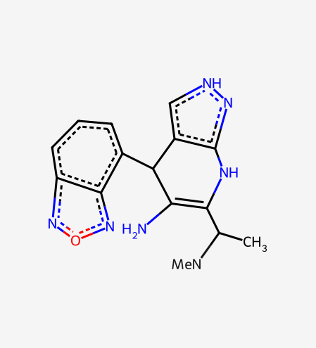 CNC(C)C1=C(N)C(c2cccc3nonc23)c2c[nH]nc2N1